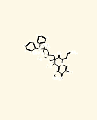 C=CCC1C(=O)C(CCCC(C)(C)[Si](O)(c2ccccc2)c2ccccc2)(COC)C(O)c2c(OC)c(=O)c(Br)cn21